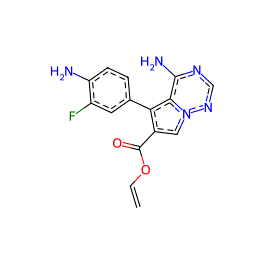 C=COC(=O)c1cn2ncnc(N)c2c1-c1ccc(N)c(F)c1